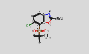 CC(C)(C)c1nc2ccc(Cl)c(S(=O)(=O)C(C)(C)C(F)(F)F)c2o1